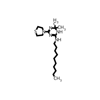 CCCCCCCCCCNC1=NC(N2CCSCC2)=NC(C)(C)N1